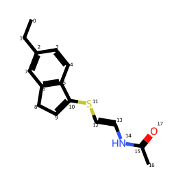 CCc1ccc2c(c1)CC=C2SC=CNC(C)=O